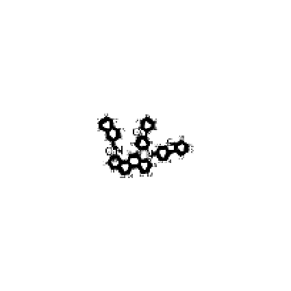 c1ccc2cc(-c3nc4c(ccc5ccc6c7cccc(N(c8ccc9c(c8)sc8ccccc89)c8ccc9oc%10ccccc%10c9c8)c7ccc6c54)o3)ccc2c1